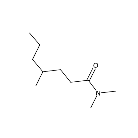 CCCC(C)CCC(=O)N(C)C